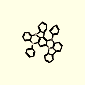 c1ccc(B2c3c(cc4c5c3c3ccccc3n5-c3ccccc3B4c3ccccc3)-n3c4ccccc4c4cccc2c43)cc1